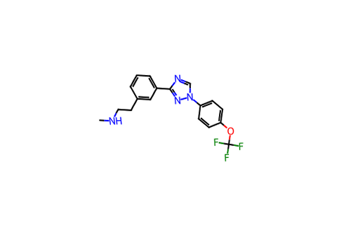 CNCCc1cccc(-c2ncn(-c3ccc(OC(F)(F)F)cc3)n2)c1